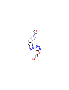 Cc1nc(OC2CC(O)C2)cc(-n2ncc3cc(C)c(C4CCN(C5CCOC5)CC4)cc32)n1